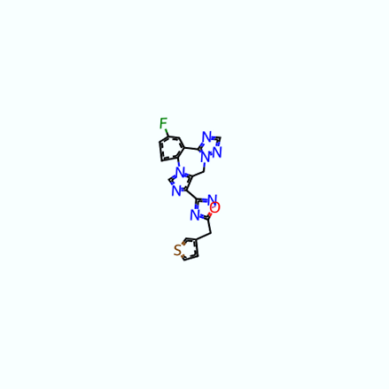 Fc1ccc2c(c1)-c1ncnn1Cc1c(-c3noc(Cc4ccsc4)n3)ncn1-2